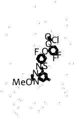 COc1cnc2c(-c3nc4cc(F)c(O[C@H]5CC(F)(F)CC[C@H]5OC(=O)Cl)cc4s3)cc(C)cc2n1